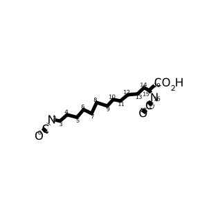 O=C=NCCCCCCCCCCCCC(N=C=O)C(=O)O